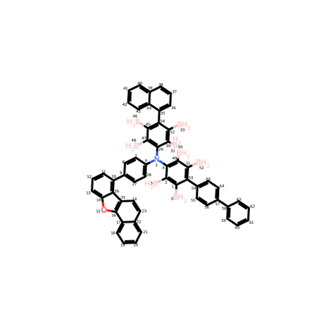 Bc1c(B)c(N(c2ccc(-c3cccc4oc5c6ccccc6ccc5c34)cc2)c2c(B)c(B)c(-c3cccc4ccccc34)c(B)c2B)c(B)c(B)c1-c1ccc(-c2ccccc2)cc1